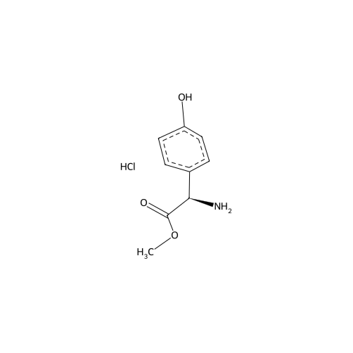 COC(=O)[C@H](N)c1ccc(O)cc1.Cl